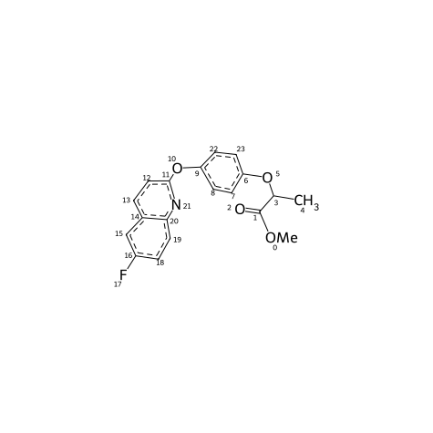 COC(=O)C(C)Oc1ccc(Oc2ccc3cc(F)ccc3n2)cc1